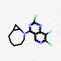 Fc1c(Cl)ncc2c(N3CCCCCC4CC43)nc(Cl)nc12